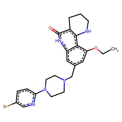 CCOc1cc(CN2CCN(c3ccc(Br)cn3)CC2)cc2[nH]c(=O)c3c(c12)NCCC3